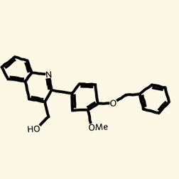 COc1cc(-c2nc3ccccc3cc2CO)ccc1OCc1ccccc1